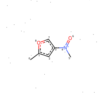 Cc1cc([N+](C)=O)co1